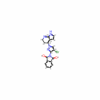 O=C1c2ccccc2C(=O)N1c1nn(C2=c3cc[nH]c3=NCC2)cc1Br